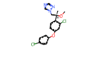 CO[C@@](C)(Cn1cncn1)c1ccc(Oc2ccc(Cl)cc2)cc1Cl